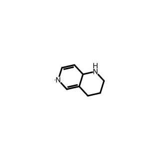 C1=CC2NCCCC2=C[N]1